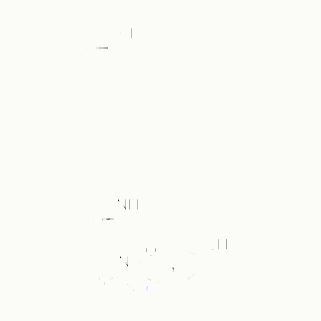 Cc1ccc(/C=C2/SC(=S)N(CCC(=O)NCCCCCCCCCCC(=O)O)C2=O)cc1